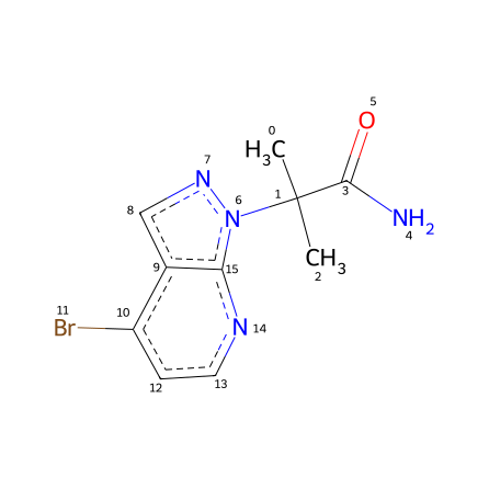 CC(C)(C(N)=O)n1ncc2c(Br)ccnc21